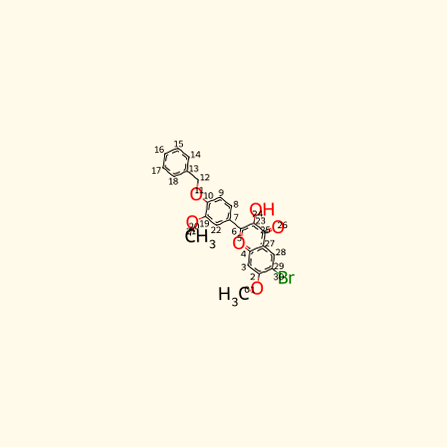 COc1cc2oc(-c3ccc(OCc4ccccc4)c(OC)c3)c(O)c(=O)c2cc1Br